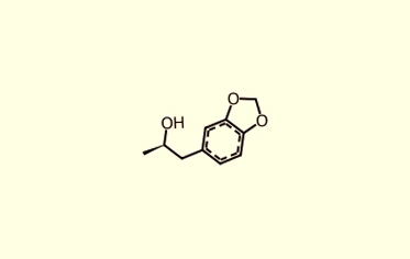 C[C@@H](O)Cc1ccc2c(c1)OCO2